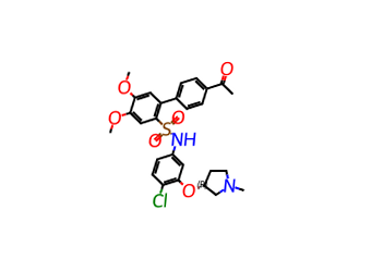 COc1cc(-c2ccc(C(C)=O)cc2)c(S(=O)(=O)Nc2ccc(Cl)c(O[C@@H]3CCN(C)C3)c2)cc1OC